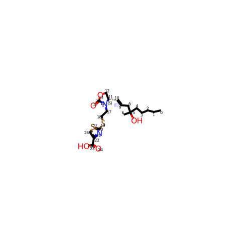 CCCCCC(C)(O)C/C=C/[C@H]1COC(=O)N1CCSc1nc(C(=O)O)cs1